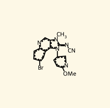 COc1ccc(-n2c(=NC#N)n(C)c3cnc4ccc(Br)cc4c32)cn1